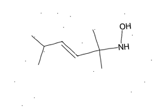 CC(C)/C=C/C(C)(C)NO